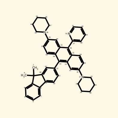 CC1(C)c2ccccc2-c2ccc(-c3c4cc(N5CCCCC5)ccc4c(-c4ccccn4)c4cc(N5CCCCC5)ccc34)cc21